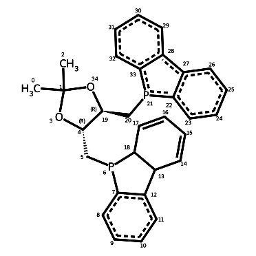 CC1(C)O[C@@H](CP2c3ccccc3C3C=CC=CC32)[C@H](Cp2c3ccccc3c3ccccc32)O1